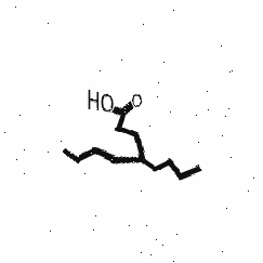 CCCCC(CCCC)CCC(=O)O